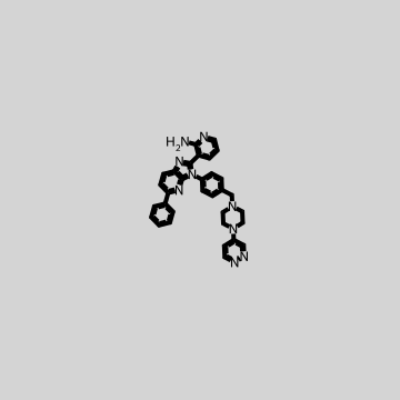 Nc1ncccc1-c1nc2ccc(-c3ccccc3)nc2n1-c1ccc(CN2CCN(c3ccnnc3)CC2)cc1